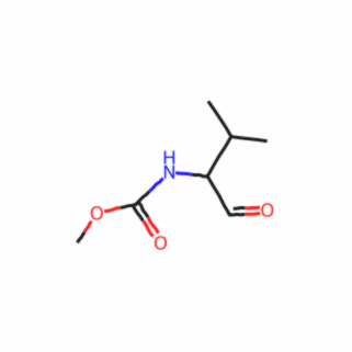 COC(=O)NC(C=O)C(C)C